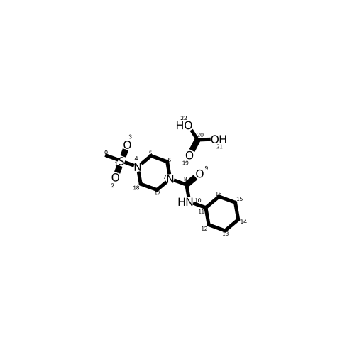 CS(=O)(=O)N1CCN(C(=O)NC2CCCCC2)CC1.O=C(O)O